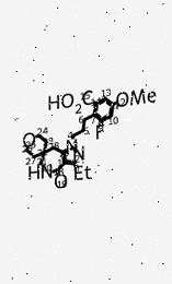 CCc1nn(CCCc2c(F)cc(OC)cc2C(=O)O)c2c1C(=O)NCC1(CCOCC1)C2